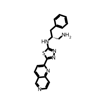 NC[C@@H](Cc1ccccc1)Nc1nnc(-c2ccc3cnccc3n2)s1